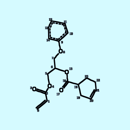 C=CC(=O)OCC(COc1ccccc1)OC(=O)C1CC=CCC1